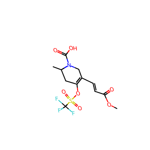 COC(=O)C=CC1=C(OS(=O)(=O)C(F)(F)F)CC(C)N(C(=O)O)C1